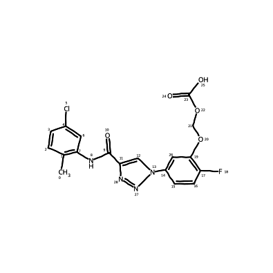 Cc1ccc(Cl)cc1NC(=O)c1cn(-c2ccc(F)c(OCOC(=O)O)c2)nn1